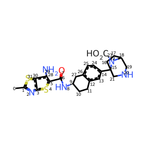 Cc1nc2sc(C(=O)N[C@@H]3CCc4cc(C56CCC(CNC5)N6C(=O)O)ccc4C3)c(N)c2s1